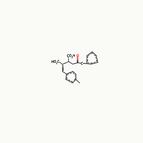 Cc1ccc(C=C(C(=O)O)C(CC(=O)Cc2ccccc2)C(=O)O)cc1